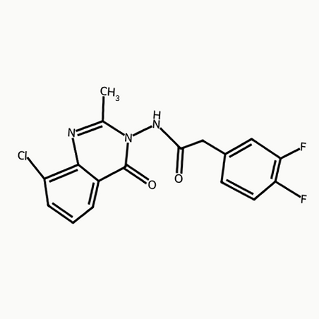 Cc1nc2c(Cl)cccc2c(=O)n1NC(=O)Cc1ccc(F)c(F)c1